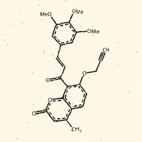 C#CCOc1ccc2c(C)cc(=O)oc2c1C(=O)C=Cc1cc(OC)c(OC)c(OC)c1